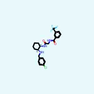 O=C(CNC(=O)c1cccc(C(F)(F)F)c1)N[C@@H]1CCCC[C@@H]1NCc1ccc(Cl)cc1